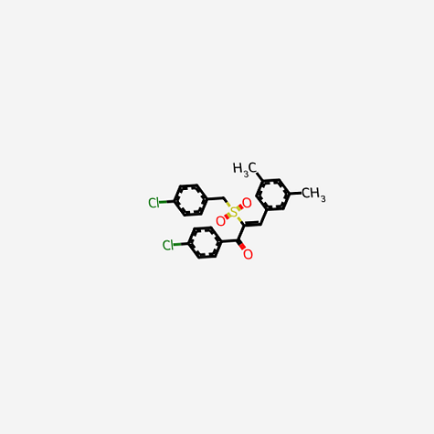 Cc1cc(C)cc(C=C(C(=O)c2ccc(Cl)cc2)S(=O)(=O)Cc2ccc(Cl)cc2)c1